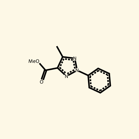 COC(=O)c1nn(-c2ccccc2)nc1C